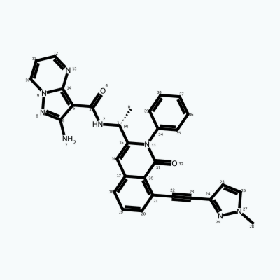 C[C@@H](NC(=O)c1c(N)nn2cccnc12)c1cc2cccc(C#Cc3ccn(C)n3)c2c(=O)n1-c1ccccc1